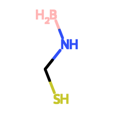 BNCS